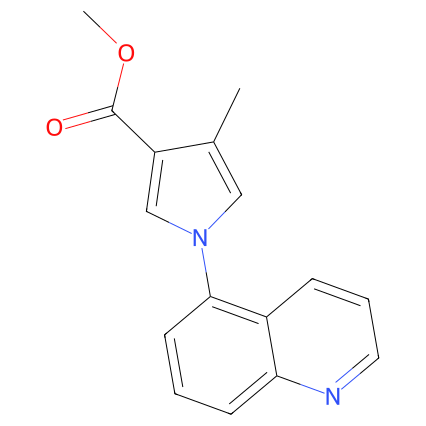 COC(=O)c1cn(-c2cccc3ncccc23)cc1C